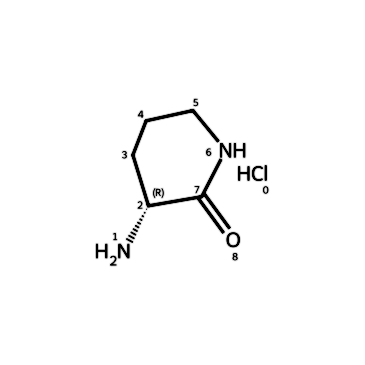 Cl.N[C@@H]1CCCNC1=O